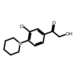 O=C(CO)c1ccc(N2CCCCC2)c(Cl)c1